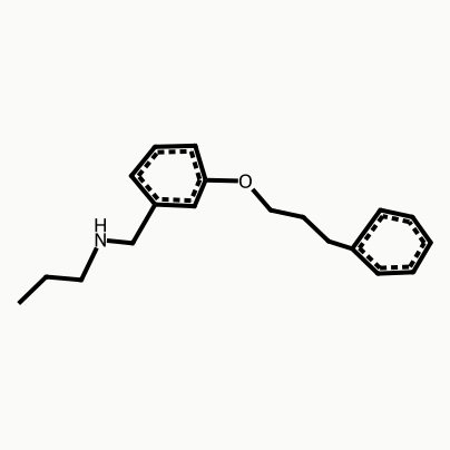 CCCNCc1cccc(OCCCc2ccccc2)c1